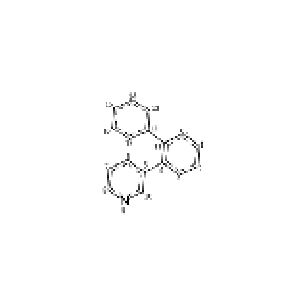 [c]1cccc(-c2cccnc2)c1-c1ccccc1